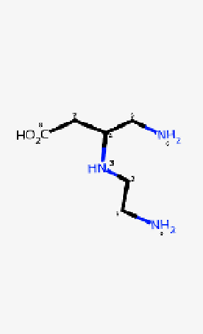 NCCNC(CN)CC(=O)O